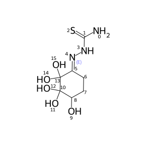 NC(=S)N/N=C1\CCC(O)C(O)(O)C1(O)O